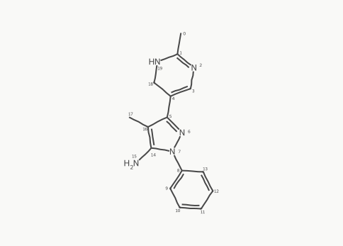 CC1=NC=C(c2nn(-c3ccccc3)c(N)c2C)CN1